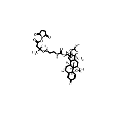 CCCC1O[C@@H]2CC3[C@@H]4C[C@H](F)C5=CC(=O)C=C[C@]5(C)[C@@]4(F)[C@@H](O)C[C@]3(C)[C@]2(C(=O)COC(=O)NCCSSC(C)(C)CC(=O)ON2C(=O)CCC2=O)O1